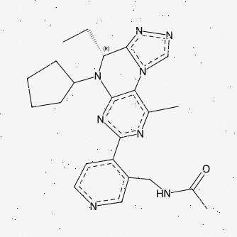 CC[C@@H]1c2nncn2-c2c(C)nc(-c3ccncc3CNC(C)=O)nc2N1C1CCCC1